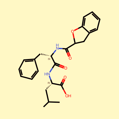 CC(C)C[C@H](NC(=O)[C@H](Cc1ccccc1)NC(=O)C1Cc2ccccc2O1)C(=O)O